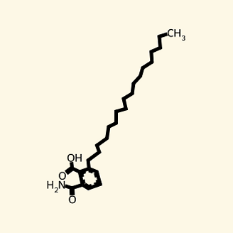 CCCCCCCCCCCCCCCCCCc1cccc(C(N)=O)c1C(=O)O